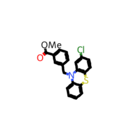 COC(=O)c1cccc(CN2c3ccccc3Sc3ccc(Cl)cc32)c1